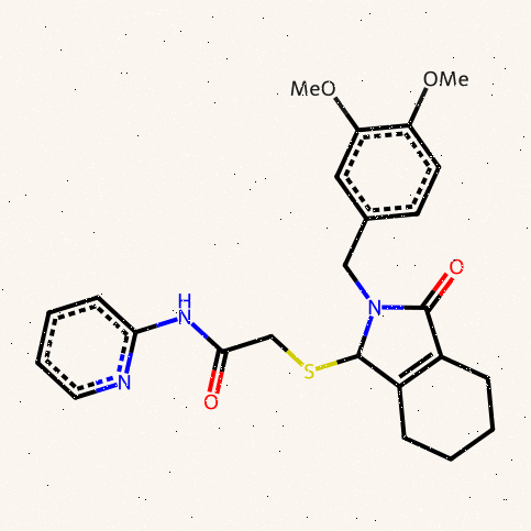 COc1ccc(CN2C(=O)C3=C(CCCC3)C2SCC(=O)Nc2ccccn2)cc1OC